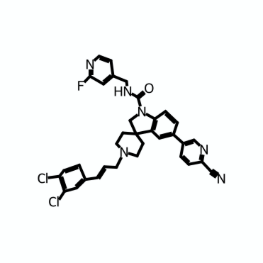 N#Cc1ccc(-c2ccc3c(c2)C2(CCN(C/C=C/c4ccc(Cl)c(Cl)c4)CC2)CN3C(=O)NCc2ccnc(F)c2)cn1